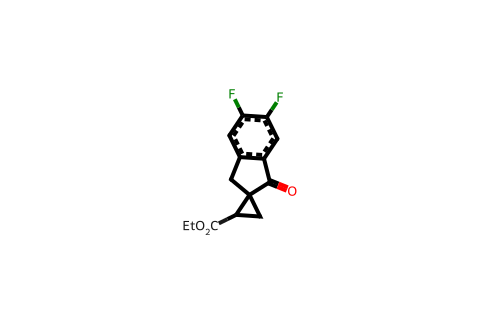 CCOC(=O)C1CC12Cc1cc(F)c(F)cc1C2=O